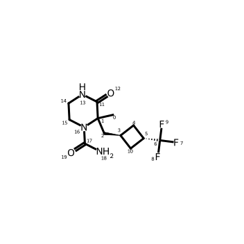 CC1(C[C@H]2C[C@H](C(F)(F)F)C2)C(=O)NCCN1C(N)=O